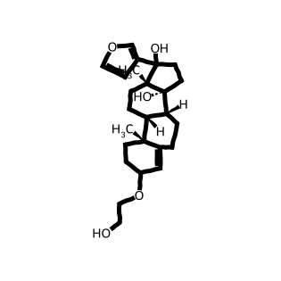 C[C@]12CCC(OCCO)C=C1CC[C@@H]1[C@H]2CC[C@]2(C)C(O)(c3ccoc3)CC[C@@]12O